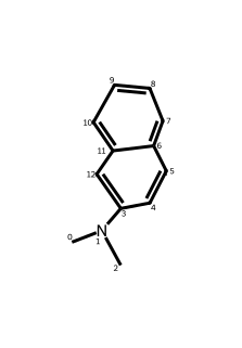 CN(C)c1c[c]c2ccccc2c1